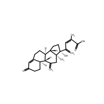 C=C1C[C@@]2(C)[C@@H](CC[C@@]2(O)C(=C)C=C(C)C(=O)O)[C@@H]2CCC3=CC(=O)CC[C@@H]3[C@@H]12